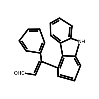 O=CC=C(c1ccccc1)c1cccc2[nH]c3ccccc3c12